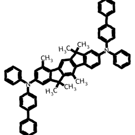 Cc1cc(N(c2ccccc2)c2ccc(-c3ccccc3)cc2)cc2c1-c1cc3c(c(C)c1C2(C)C)-c1ccc(N(c2ccccc2)c2ccc(-c4ccccc4)cc2)cc1C3(C)C